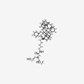 O=C(O)CN(CC(=O)O)CC(=O)NCCCCCC(=O)OC(Cc1ccccc1)(c1ccccc1)C(Cc1ccccc1)(c1ccccc1)C(Cc1ccccc1)(Cc1ccccc1)c1ccccc1